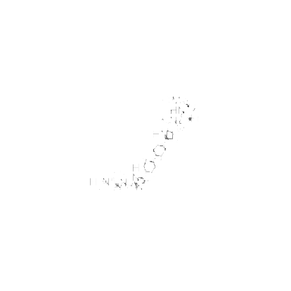 COC(=O)N[C@H](C(=O)N1CCC[C@H]1c1ccc(-c2ccc(-c3ccc(-c4cnc(CN5CCC[C@H](N)C5=O)[nH]4)cc3)cc2)[nH]1)C(C)C